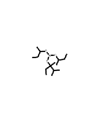 CCC(C)[O][Al]([O]C(C)CC)[O]C(C)(CC)C(C)C